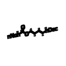 CCCCCCCCCCCCCCOC(=O)CCCCCCCCC